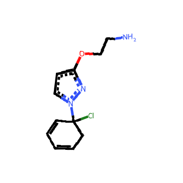 NCCOc1ccn(C2(Cl)C=CC=CC2)n1